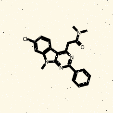 CN(C)C(=O)Cc1nc(-c2ccccc2)nc2c1c1ccc(Cl)cc1n2C